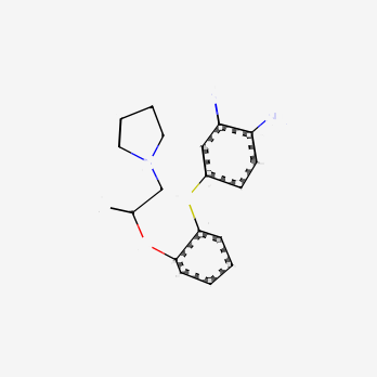 CC(CN1CCCC1)Oc1ccccc1Sc1ccc(N)c(N)c1